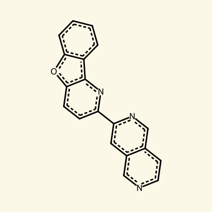 c1ccc2c(c1)oc1ccc(-c3cc4cnccc4cn3)nc12